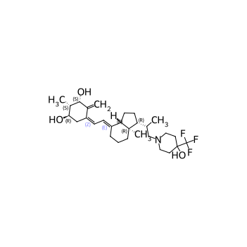 C=C1/C(=C\C=C2/CCC[C@]3(C)[C@@H](C(C)CN4CCC(O)(C(F)(F)F)CC4)CC[C@@H]23)C[C@@H](O)[C@H](C)[C@@H]1O